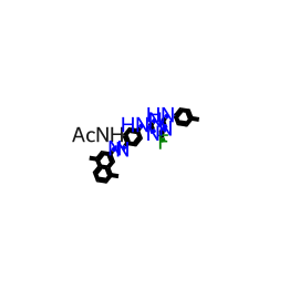 CC(=O)Nc1cc(Nc2nc(F)nc(Nc3ccc(C)cc3)n2)ccc1N=Nc1cc(C)c2cccc(C)c2c1